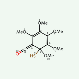 COC1=C(OC)C(OC)=C(OC)C(S)(OC)C1=C=O